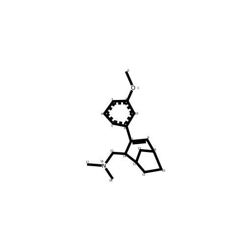 COc1cccc(C2=CC3CCC(C3)C2CN(C)C)c1